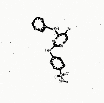 CNS(=O)(=O)c1ccc(Nc2ncc(Br)c(Nc3ccccc3)n2)cc1